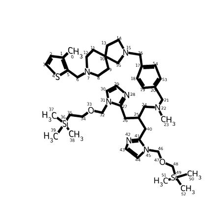 Cc1ccsc1CN1CCC2(CC1)CCN(Cc1ccc(CN(C)CC(Cc3nccn3COCC[Si](C)(C)C)Cc3nccn3COC[Si](C)(C)C)cc1)C2